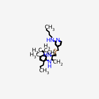 C=C(Nc1cc(C(=C)C)c(C)cc1CCC)/C(=C/SCc1ccnc(NCCCCC)c1)NC